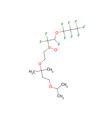 CC(C)OCCC(C)(C)OCC[S+]([O-])C(F)(F)C(F)OC(F)(F)C(F)(F)C(F)(F)F